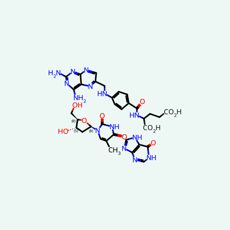 Cc1cn([C@H]2C[C@H](O)[C@@H](CO)O2)c(=O)[nH]c1=O.Nc1nc(N)c2nc(CNc3ccc(C(=O)NC(CCC(=O)O)C(=O)O)cc3)cnc2n1.O=c1[nH]cnc2nc[nH]c12